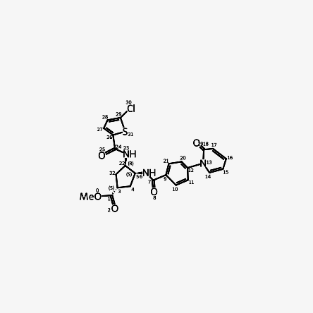 COC(=O)[C@H]1C[C@H](NC(=O)c2ccc(-n3ccccc3=O)cc2)[C@H](NC(=O)c2ccc(Cl)s2)C1